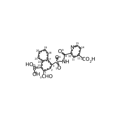 O=Cc1cc(S(=O)(=O)NC(=O)c2cc(C(=O)O)ccn2)c2ccccc2c1B(O)O